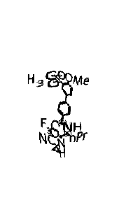 CCC[C@H](N[C@@H](c1ccc(-c2ccc(OC)c(S(C)(=O)=O)c2)cc1)C(F)(F)F)C(=O)NC1(C#N)CC1